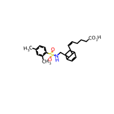 Cc1ccc(S(=O)(=O)NCC2C3C=CC(CC3)C2/C=C\CCCC(=O)O)c(C)c1